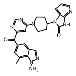 Cc1cc(C(=O)c2cc(N3CCC(n4c(=O)[nH]c5ncccc54)CC3)ncn2)cc2cnn(N)c12